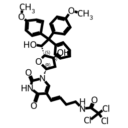 COc1ccc(C(c2ccccc2)(c2ccc(OC)cc2)C(O)[C@H]2O[C@@H](n3cc(C=CCCNC(=O)C(Cl)(Cl)Cl)c(=O)[nH]c3=O)C[C@@H]2O)cc1